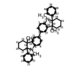 CN1c2ccc(-c3ccc4c(c3)C3(C)CCCCC3(c3ccccc3)N4C)cc2C2(C)CCCCC12c1ccccc1